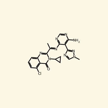 C/C(=N\c1ncnc(N)c1-c1ncn(C)n1)c1nc2cccc(Cl)c2c(=O)n1C1CC1